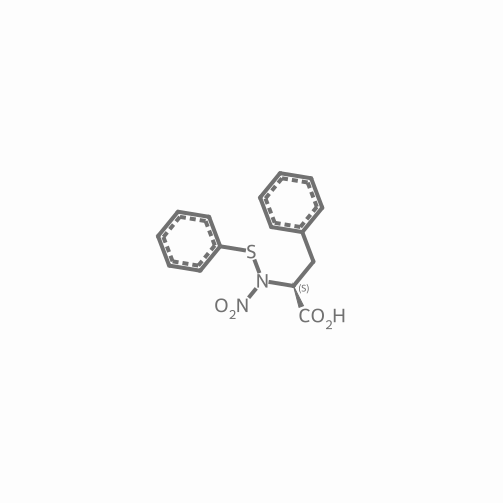 O=C(O)[C@H](Cc1ccccc1)N(Sc1ccccc1)[N+](=O)[O-]